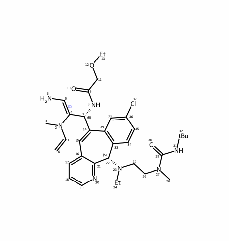 C=CN(C)/C(=C\N)[C@H](NC(=O)COCC)C1=Cc2cccnc2[C@@H](N(CC)CCN(C)C(=O)NC(C)(C)C)c2ccc(Cl)cc21